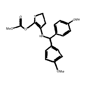 COC(=O)OC1=C(NC(c2ccc(OC)cc2)c2ccc(OC)cc2)CCS1